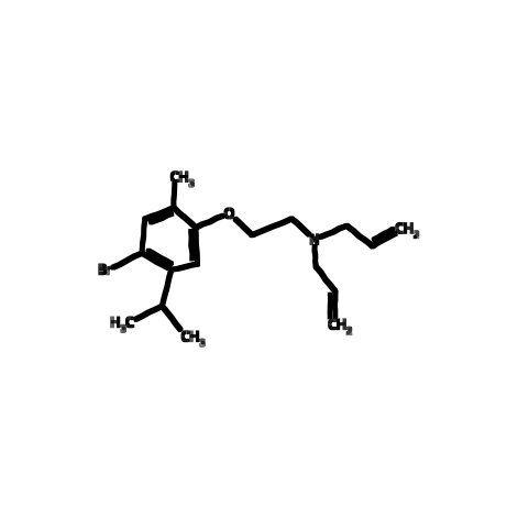 C=CCN(CC=C)CCOc1cc(C(C)C)c(Br)cc1C